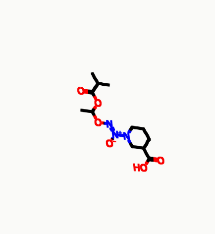 CC(ON=[N+]([O-])N1CCCC(C(=O)O)C1)OC(=O)C(C)C